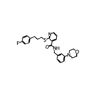 O=C(NCc1cccc(N2CCOCC2)c1)c1cccnc1SCCCc1ccc(F)cc1